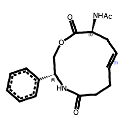 CC(=O)N[C@H]1C/C=C/CCC(=O)N[C@H](c2ccccc2)COC1=O